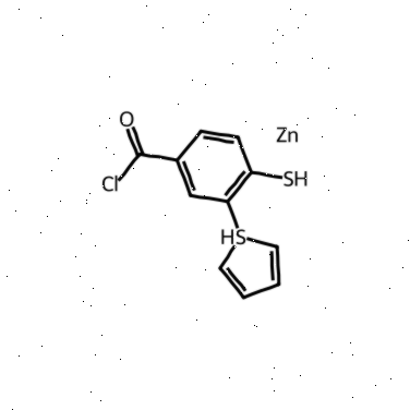 O=C(Cl)c1ccc(S)c([SH]2C=CC=C2)c1.[Zn]